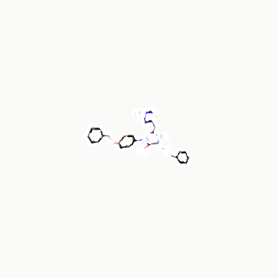 O=C(Cc1c[nH]cn1)N[C@@H](COCc1ccccc1)C(=O)Nc1ccc(OCc2ccccc2)cc1